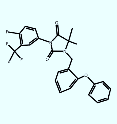 CC1(C)C(=O)N(c2ccc(F)c(C(F)(F)F)c2)C(=O)N1Cc1ccccc1Oc1ccccc1